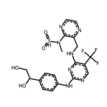 CN(c1nccnc1CNc1nc(Nc2ccc(C(O)CO)cc2)ncc1C(F)(F)F)[SH](=O)=O